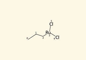 CC[CH2][Ru]([Cl])[Cl]